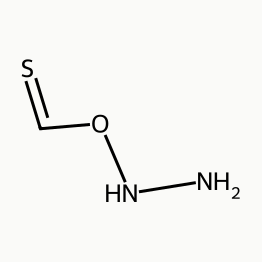 NNOC=S